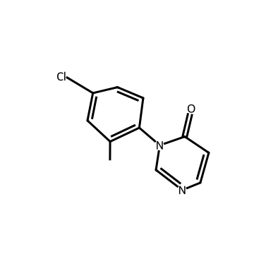 Cc1cc(Cl)ccc1-n1cnccc1=O